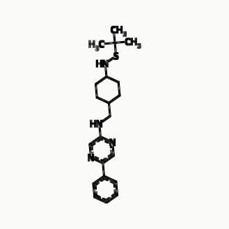 CC(C)(C)SNC1CCC(CNc2cnc(-c3ccccc3)cn2)CC1